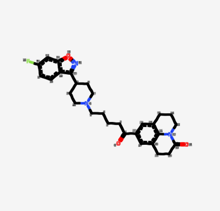 O=C(CCCCN1CCC(c2noc3cc(F)ccc23)CC1)c1cc2c3c(c1)CCC(=O)N3CCC2